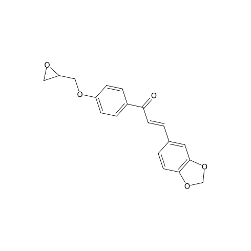 O=C(/C=C/c1ccc2c(c1)OCO2)c1ccc(OCC2CO2)cc1